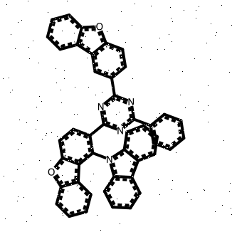 c1ccc(-c2nc(-c3ccc4oc5ccccc5c4c3)nc(-c3ccc4oc5ccccc5c4c3-n3c4ccccc4c4ccccc43)n2)cc1